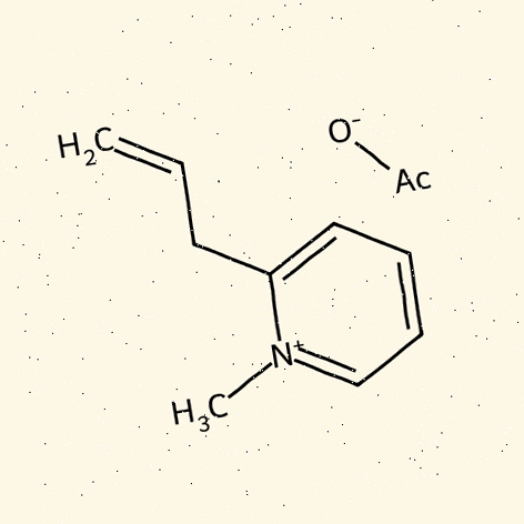 C=CCc1cccc[n+]1C.CC(=O)[O-]